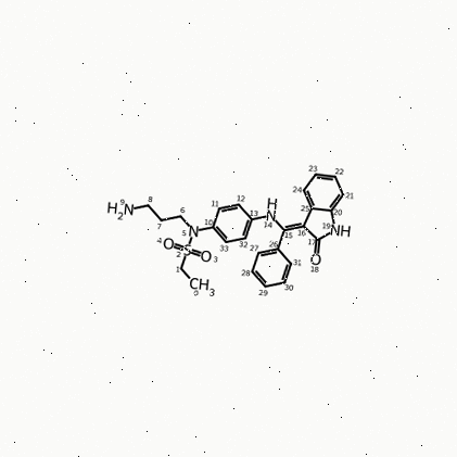 CCS(=O)(=O)N(CCCN)c1ccc(NC(=C2C(=O)Nc3ccccc32)c2ccccc2)cc1